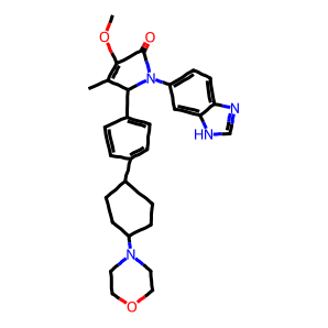 COC1=C(C)C(c2ccc(C3CCC(N4CCOCC4)CC3)cc2)N(c2ccc3nc[nH]c3c2)C1=O